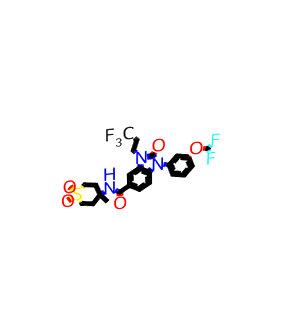 CC1(NC(=O)c2ccc3c(c2)n(CCC(F)(F)F)c(=O)n3-c2cccc(OC(F)F)c2)CCS(=O)(=O)CC1